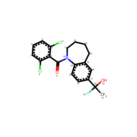 O=C(c1c(Cl)cccc1Cl)N1CCCCc2cc(C(O)(F)C(F)(F)F)ccc21